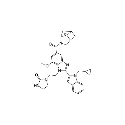 COc1cc(C(=O)N2CC3CC4CC2[C@H]43)cc2nc(-c3cc4ccccc4n3CC3CC3)n(CCN3CCNC3=O)c12